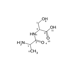 CC(N)C(=O)NC(CO)C(=O)O